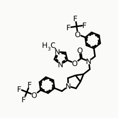 Cn1cnc(OC(=O)N(Cc2cccc(OC(F)(F)F)c2)CC2C3CN(Cc4cccc(OC(F)(F)F)c4)CC32)c1